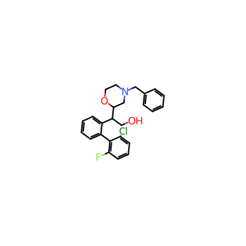 OCC(c1ccccc1-c1c(F)cccc1Cl)C1CN(Cc2ccccc2)CCO1